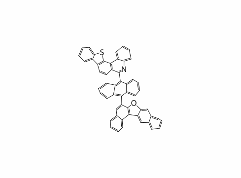 c1ccc2cc3c(cc2c1)oc1c(-c2c4ccccc4c(-c4nc5ccccc5c5c4ccc4c6ccccc6sc45)c4ccccc24)cc2ccccc2c13